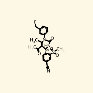 CC(=O)C1=C(C)N(c2cccc(CF)c2)C(=O)N[C@@H]1c1ccc(C#N)cc1S(C)(=O)=O